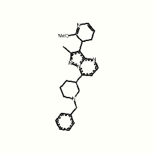 COC1=NC=CCC1c1c(C)nn2c(C3CCCN(Cc4ccccc4)C3)ccnc12